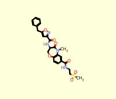 CN1C(=O)C(NC(=O)c2cc(Cc3ccccc3)on2)COc2ccc(C(=O)NCCS(C)(=O)=O)cc21